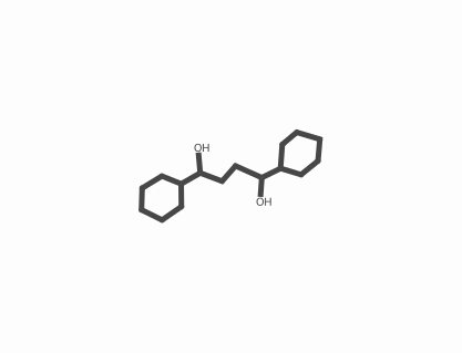 OC(CCC(O)C1CCCCC1)C1CCCCC1